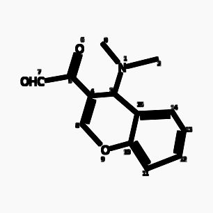 CN(C)C1C(C(=O)C=O)=COc2ccccc21